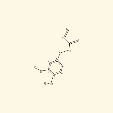 C=CC(=C)CCc1ccc(CC)c(CC)c1